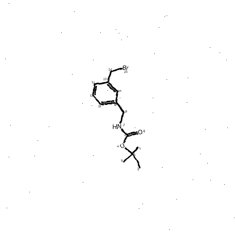 CC(C)(C)OC(=O)NCc1cccc(CBr)c1